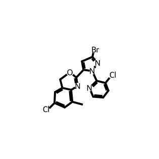 Cc1cc(Cl)cc2c1N=C(c1cc(Br)nn1-c1ncccc1Cl)OC2